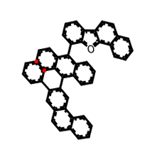 c1ccc(-c2cc3ccc4ccccc4c3cc2-c2c3ccccc3c(-c3cccc4c3oc3c5ccccc5ccc43)c3ccccc23)cc1